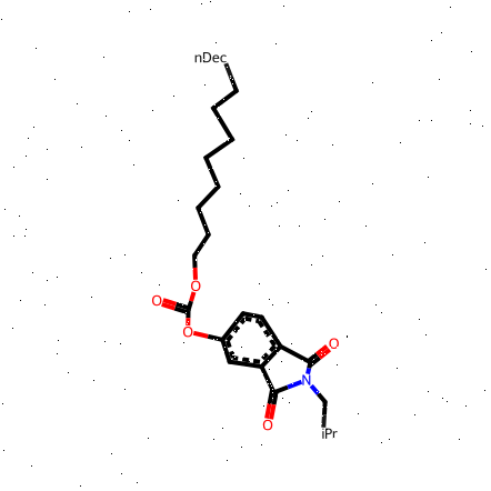 CCCCCCCCCCCCCCCCCCOC(=O)Oc1ccc2c(c1)C(=O)N(CC(C)C)C2=O